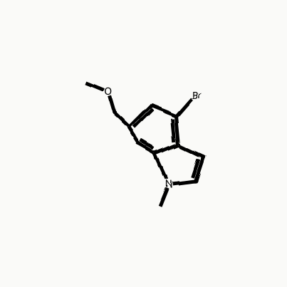 COCc1cc(Br)c2ccn(C)c2c1